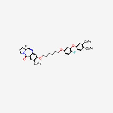 COc1ccc(Oc2cc(OCCCCCCOc3cc4c(cc3OC)C(=O)N3CCC[C@H]3C=N4)ccc2F)cc1OC